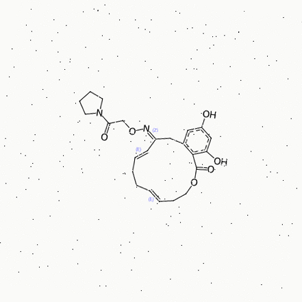 O=C1OCC/C=C/CC/C=C/C(=N\OCC(=O)N2CCCC2)Cc2cc(O)cc(O)c21